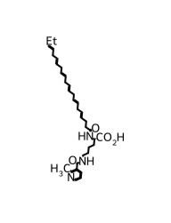 CCC=CCC=CCC=CCC=CCC=CCC=CCCC(=O)N[C@@H](CCCCNC(=O)c1cccnc1C)C(=O)O